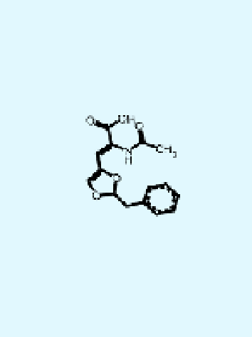 CC(=O)NC(=CC1=COC(Cc2ccccc2)O1)C(=O)O